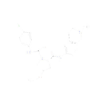 COC1C[C@H](C(=O)Nc2ccc3c(c2)CCN(C)C3)N(C(=O)Nc2ccc(Cl)cc2)C1